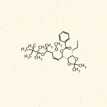 CO[C@H](/C=C\C(OC(=O)c1ccccc1)[C@H]1OC(C)(C)O[C@H]1CCI)[C@H](C)O[Si](C)(C)C(C)(C)C